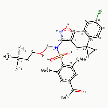 CNC(=O)c1cc(OC)c(S(=O)(=O)N(COCC[Si](C)(C)C)c2noc3c2CC2(CC2)c2ccc(Br)cc2-3)c(OC)c1